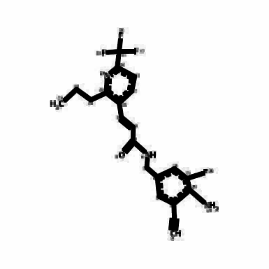 C#Cc1cc(CNC(=O)/C=C/c2ccc(C(F)(F)F)nc2CCC)cc(F)c1N